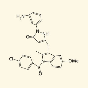 COc1ccc2c(c1)c(Cc1cc(=O)n(-c3cccc(N)c3)[nH]1)c(C)n2C(=O)c1ccc(Cl)cc1